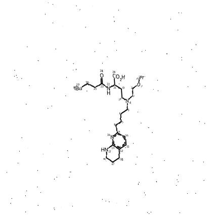 CC(C)OCCN(CCCCc1ccc2c(n1)NCCC2)CCC(NC(=O)CCC(C)(C)C)C(=O)O